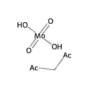 CC(=O)CC(C)=O.[O]=[Mo](=[O])([OH])[OH]